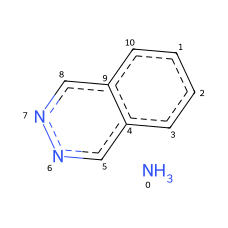 N.c1ccc2cnncc2c1